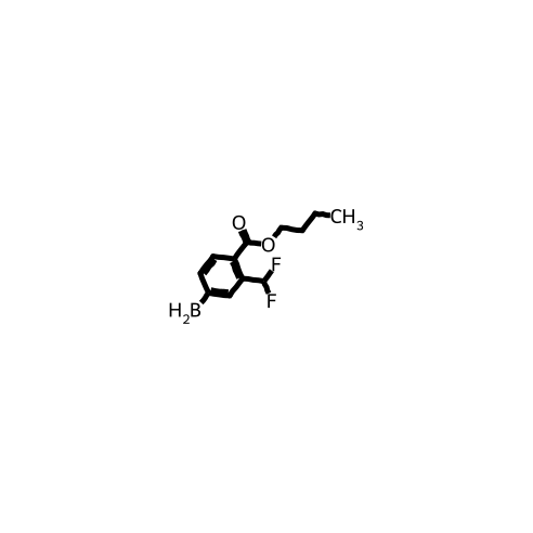 Bc1ccc(C(=O)OCCCC)c(C(F)F)c1